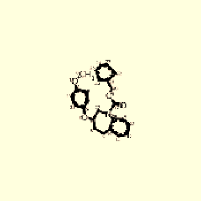 COc1ccc(OC2CCc3ccccc3N(C(=O)OCc3ccccc3)C2)cc1